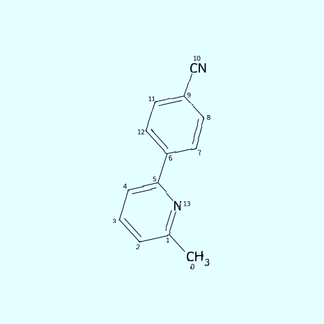 Cc1cccc(-c2ccc(C#N)cc2)n1